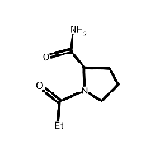 [CH2]CC(=O)N1CCCC1C(N)=O